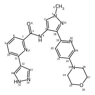 Cn1cc(NC(=O)c2cccc(-c3cn[nH]c3)n2)c(-c2ccc(N3CCOCC3)cn2)n1